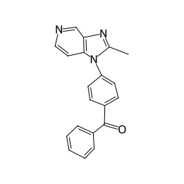 Cc1nc2cnccc2n1-c1ccc(C(=O)c2ccccc2)cc1